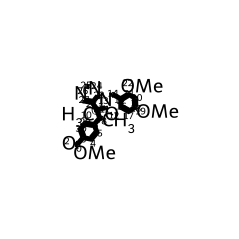 COC(=O)c1ccc(C(C)[C@@]2(C)C(=O)N(Cc3ccc(OC)cc3OC)c3ncncc32)cc1